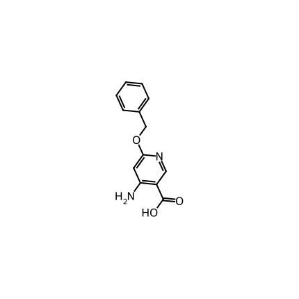 Nc1cc(OCc2ccccc2)ncc1C(=O)O